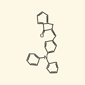 O=C1C(=Cc2ccc(N(c3ccccc3)c3ccccc3)cc2)Cc2ccccc21